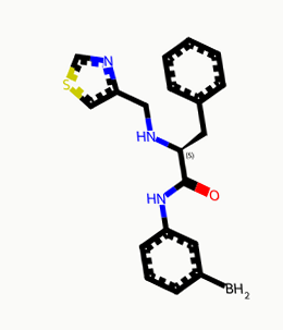 Bc1cccc(NC(=O)[C@H](Cc2ccccc2)NCc2cscn2)c1